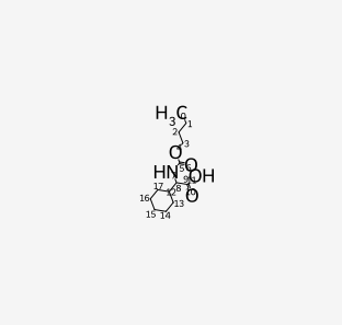 CCCCOC(=O)NC(C(=O)O)C1CCCCC1